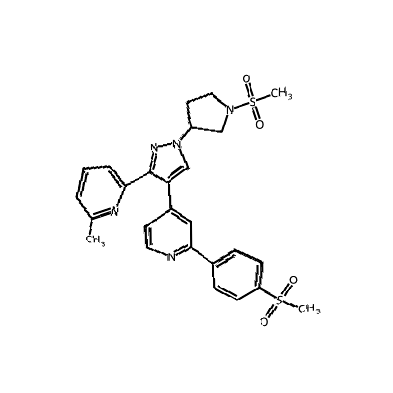 Cc1cccc(-c2nn(C3CCN(S(C)(=O)=O)C3)cc2-c2ccnc(-c3ccc(S(C)(=O)=O)cc3)c2)n1